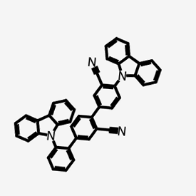 N#Cc1cc(-c2ccccc2-n2c3ccccc3c3ccccc32)ccc1-c1ccc(-n2c3ccccc3c3ccccc32)c(C#N)c1